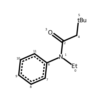 CCN(C(=O)CC(C)(C)C)c1ccccc1